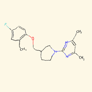 Cc1cc(C)nc(N2CCC(COc3ccc(F)cc3C)C2)n1